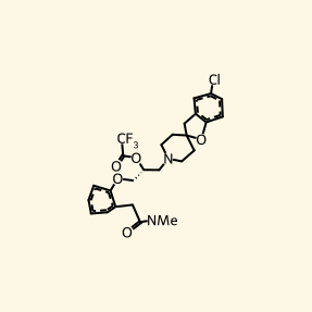 CNC(=O)Cc1ccccc1OC[C@@H](CN1CCC2(CC1)Cc1cc(Cl)ccc1O2)OC(=O)C(F)(F)F